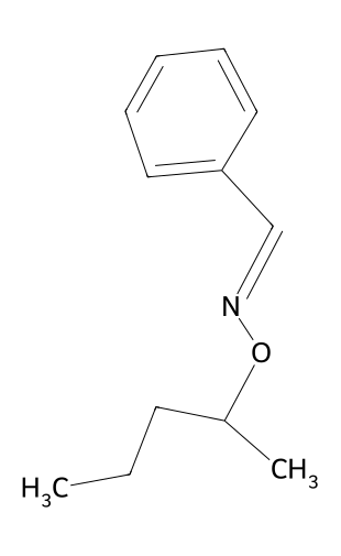 CCCC(C)O/N=C/c1ccccc1